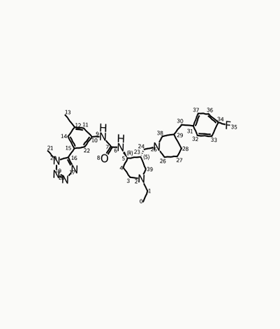 CCN1CC[C@@H](NC(=O)Nc2cc(C)cc(-c3nnnn3C)c2)[C@H](CN2CCCC(Cc3ccc(F)cc3)C2)C1